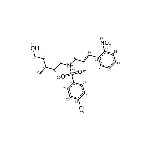 C[C@@H](CCO)CCN(CC=Cc1ccccc1[N+](=O)[O-])S(=O)(=O)c1ccc(Cl)cc1